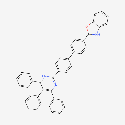 C1=CC(C2=C(c3ccccc3)N=C(c3ccc(-c4ccc(C5Nc6ccccc6O5)cc4)cc3)NC2c2ccccc2)=CCC1